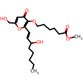 CCCCCC(O)/C=C/c1oc(CO)cc(=O)c1OCCCCCC(=O)OC